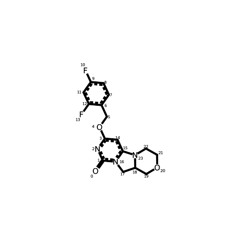 O=c1nc(OCc2ccc(F)cc2F)cc2n1CC1COCCN21